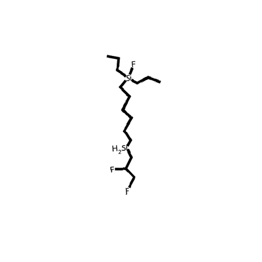 CCC[Si](F)(CCC)CCCCCC[SiH2]CC(F)CF